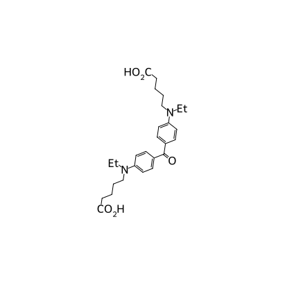 CCN(CCCCC(=O)O)c1ccc(C(=O)c2ccc(N(CC)CCCCC(=O)O)cc2)cc1